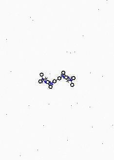 CC1(C)c2cc3c(cc2-n2c1c(-c1ccccc1)c1ccccc12)c1ccccc1n3-c1ccc(-c2ccc(-n3c4ccccc4c4cc5c(cc43)C(C)(C)c3c(-c4ccccc4)c4ccccc4n3-5)cc2)cc1